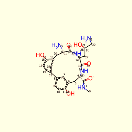 CNC(=O)[C@@H]1Cc2cc(ccc2O)-c2ccc(O)c(c2)C[C@H](N)C(=O)N[C@@H](C[C@@H](O)CN)C(=O)N1